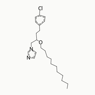 CCCCCCCCCCCOC(CCc1ccc(Cl)cc1)Cn1ccnc1